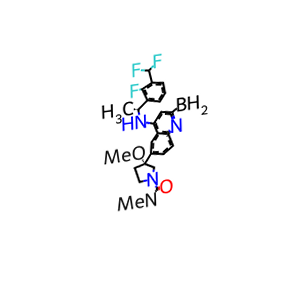 Bc1cc(N[C@H](C)c2cccc(C(F)F)c2F)c2cc([C@]3(OC)CCN(C(=O)NC)C3)ccc2n1